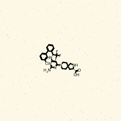 Nc1nc(N[C@H](c2ccccc2-c2cccc(Cl)c2)C(F)(F)F)cc(N2CCC3(CC2)CN[C@H](C(=O)O)C3)n1